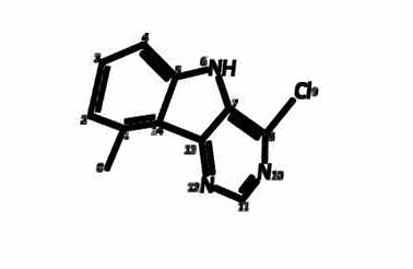 Cc1cccc2[nH]c3c(Cl)ncnc3c12